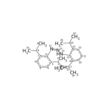 CC(C)c1cccc(C(C)C)c1/N=N\Nc1c(C(C)C)cccc1C(C)C